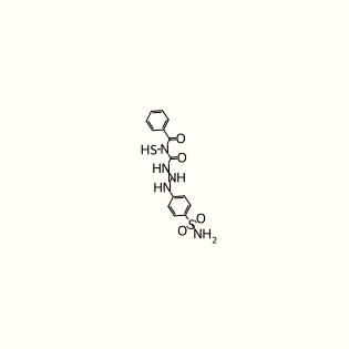 NS(=O)(=O)c1ccc(NNNC(=O)N(S)C(=O)c2ccccc2)cc1